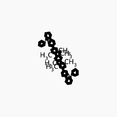 Cc1cc(-c2ccc3c(c2)N(c2ccccc2)C2C=CC=CC32)cc2c1-c1cc3c(cc1C2(C)C)-c1c(C)cc(-c2ccc4c5ccccc5n(-c5ccccc5)c4c2)cc1C3(C)C